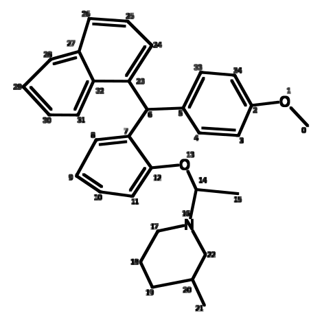 COc1ccc(C(c2ccccc2OC(C)N2CCCC(C)C2)c2cccc3ccccc23)cc1